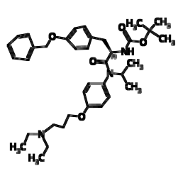 CCN(CC)CCCOc1ccc(N(C(=O)[C@@H](Cc2ccc(OCc3ccccc3)cc2)NC(=O)OC(C)(C)C)C(C)C)cc1